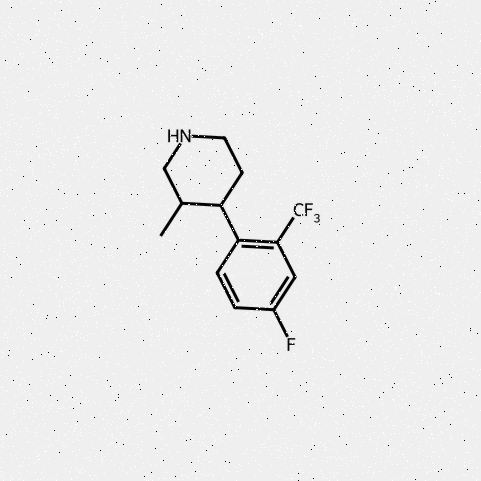 CC1CNCCC1c1ccc(F)cc1C(F)(F)F